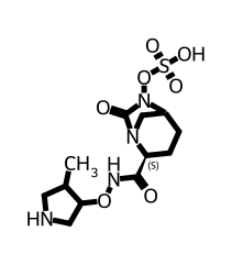 CC1CNCC1ONC(=O)[C@@H]1CCC2CN1C(=O)N2OS(=O)(=O)O